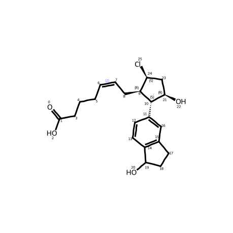 O=C(O)CCC/C=C\C[C@@H]1[C@@H](c2ccc3c(c2)CCC3O)[C@H](O)C[C@@H]1Cl